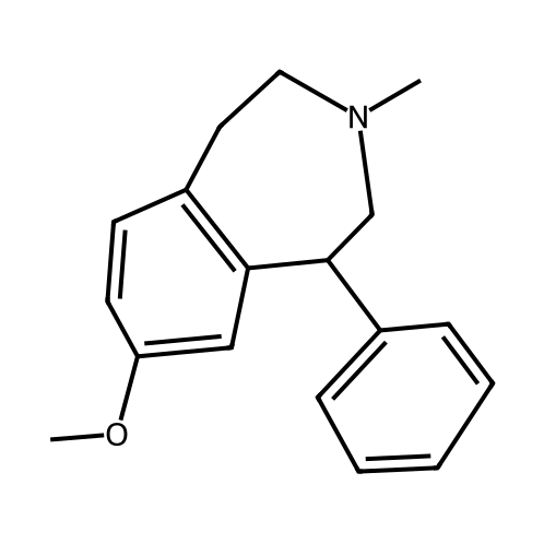 COc1ccc2c(c1)C(c1ccccc1)CN(C)CC2